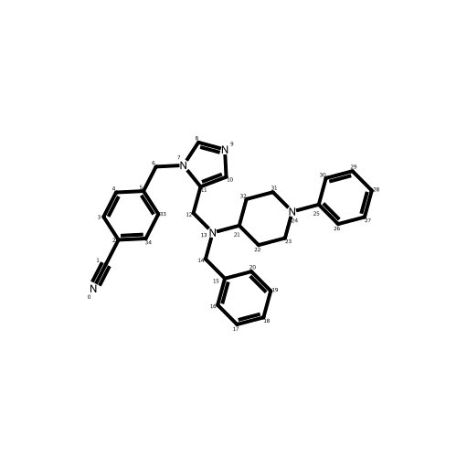 N#Cc1ccc(Cn2cncc2CN(Cc2ccccc2)C2CCN(c3ccccc3)CC2)cc1